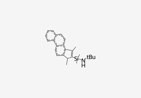 CC1=C([Si](C)(C)NC(C)(C)C)C(C)c2ccc3c(ccc4ccccc43)c21